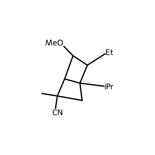 CCC1C(OC)C2C(C)(C#N)CC12C(C)C